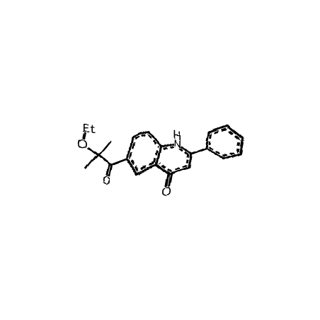 CCOC(C)(C)C(=O)c1ccc2[nH]c(-c3ccccc3)cc(=O)c2c1